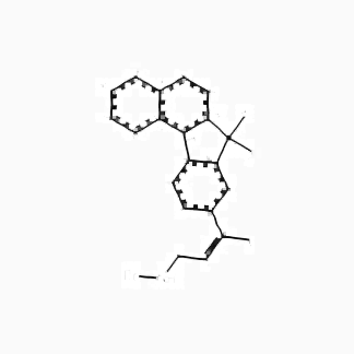 CCNC/C=C(/C)c1ccc2c(c1)C(C)(C)c1ccc3ccccc3c1-2